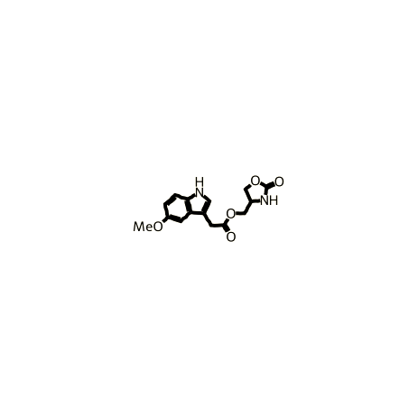 COc1ccc2[nH]cc(CC(=O)OCC3COC(=O)N3)c2c1